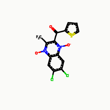 O=C(c1cccs1)c1c(C(F)(F)F)[n+]([O-])c2cc(Cl)c(Cl)cc2[n+]1[O-]